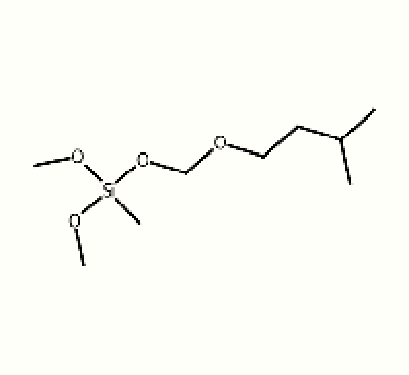 CO[Si](C)(OC)OCOCCC(C)C